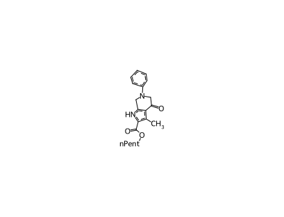 CCCCCOC(=O)c1[nH]c2c(c1C)C(=O)CN(c1ccccc1)C2